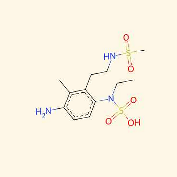 CCN(c1ccc(N)c(C)c1CCNS(C)(=O)=O)S(=O)(=O)O